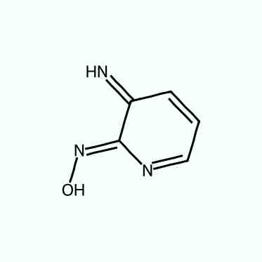 N=C1C=CC=NC1=NO